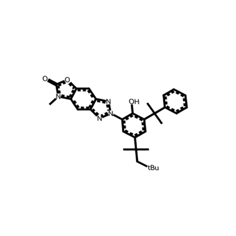 Cn1c(=O)oc2cc3nn(-c4cc(C(C)(C)CC(C)(C)C)cc(C(C)(C)c5ccccc5)c4O)nc3cc21